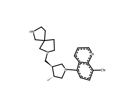 C[C@H]1CN(c2ccc(C#N)c3ncccc23)C[C@@H]1CN1CCC2(CCNC2)C1